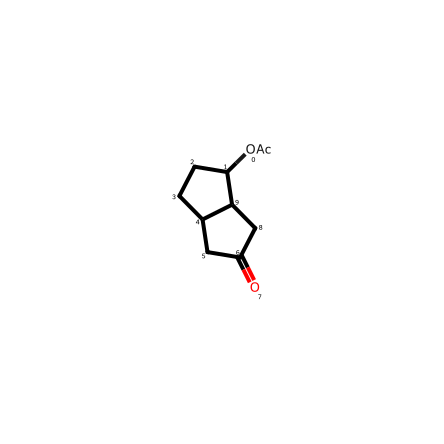 CC(=O)OC1CCC2CC(=O)CC21